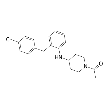 CC(=O)N1CCC(Nc2ccccc2Cc2ccc(Cl)cc2)CC1